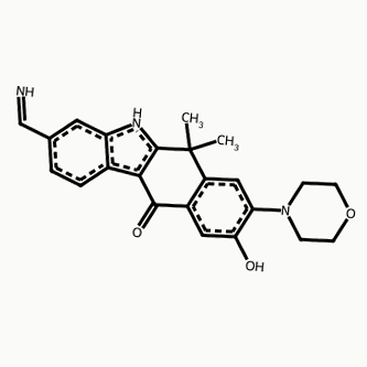 CC1(C)c2cc(N3CCOCC3)c(O)cc2C(=O)c2c1[nH]c1cc(C=N)ccc21